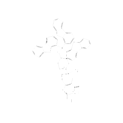 Cc1nc2c(c(=O)[nH]1)CC(C#N)(N1CCC(OC(c3cccc4c3Cc3ccccc3-4)(c3cccc4c3Cc3ccccc3-4)c3cccc4c3Cc3ccccc3-4)CC1)CC2